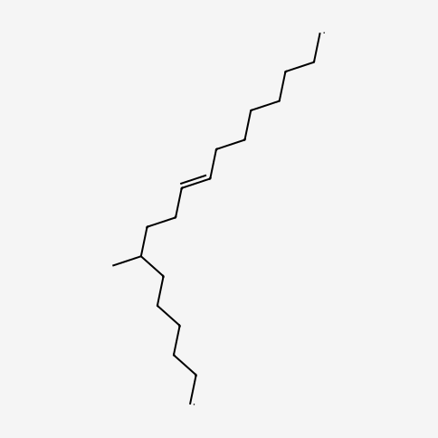 [CH2]CCCCCCC=CCCC(C)CCCCC[CH2]